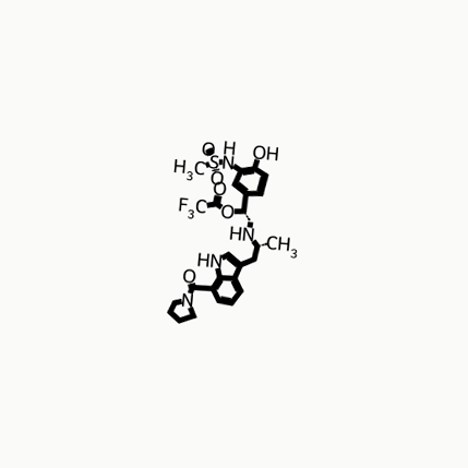 C[C@H](Cc1c[nH]c2c(C(=O)N3CCCC3)cccc12)NC[C@H](OC(=O)C(F)(F)F)c1ccc(O)c(NS(C)(=O)=O)c1